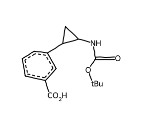 CC(C)(C)OC(=O)NC1CC1c1cccc(C(=O)O)c1